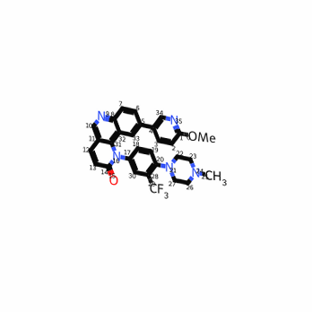 COc1ccc(-c2ccc3ncc4ccc(=O)n(-c5ccc(N6CCN(C)CC6)c(C(F)(F)F)c5)c4c3c2)cn1